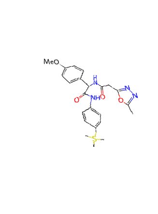 COc1ccc(C(NC(=O)Cc2nnc(C)o2)C(=O)Nc2ccc(S(C)(C)C)cc2)cc1